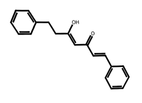 O=C(/C=C(\O)CCc1ccccc1)/C=C/c1ccccc1